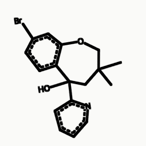 CC1(C)COc2cc(Br)ccc2C(O)(c2ccccn2)C1